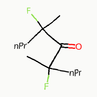 CCCC(C)(F)C(=O)C(C)(F)CCC